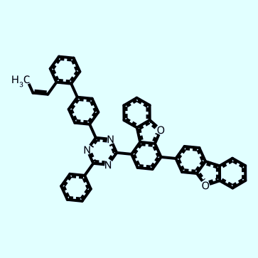 C/C=C\c1ccccc1-c1ccc(-c2nc(-c3ccccc3)nc(-c3ccc(-c4ccc5c(c4)oc4ccccc45)c4oc5ccccc5c34)n2)cc1